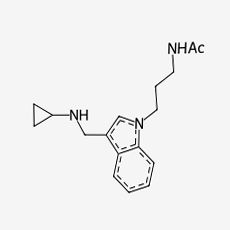 CC(=O)NCCCn1cc(CNC2CC2)c2ccccc21